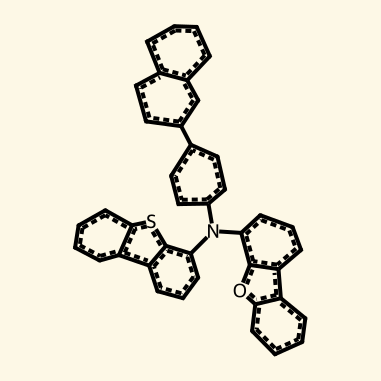 c1ccc2cc(-c3ccc(N(c4cccc5c4oc4ccccc45)c4cccc5c4sc4ccccc45)cc3)ccc2c1